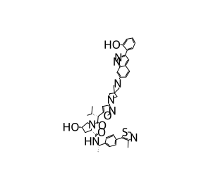 Cc1ncsc1-c1ccc([C@H](C)NC(=O)[C@@H]2C[C@@H](O)CN2C(=O)[C@@H](c2cc(N3CC4(CN(c5ccc6cc(-c7ccccc7O)nnc6c5)C4)C3)no2)C(C)C)cc1